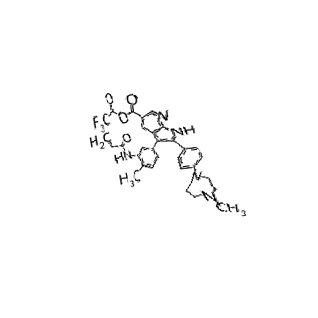 C=CC(=O)Nc1cc(-c2c(-c3ccc(N4CCN(C)CC4)cc3)[nH]c3ncc(C(=O)OC(=O)C(F)(F)F)cc23)ccc1C